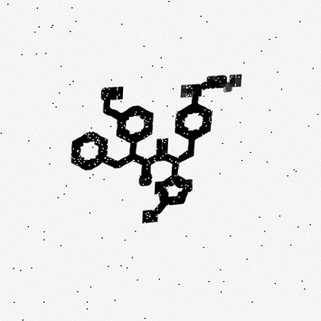 CCc1csc([C@H](Cc2ccc(NS(=O)(=O)O)cc2)NC(=O)C(Cc2ccccc2)c2cccc(CO)c2)n1